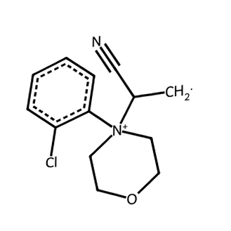 [CH2]C(C#N)[N+]1(c2ccccc2Cl)CCOCC1